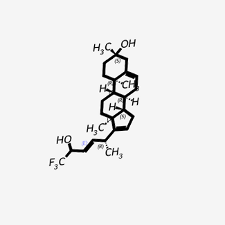 C[C@H](/C=C/C(O)C(F)(F)F)C1=CC[C@H]2[C@@H]3CC=C4C[C@@](C)(O)CC[C@]4(C)[C@H]3CC[C@]12C